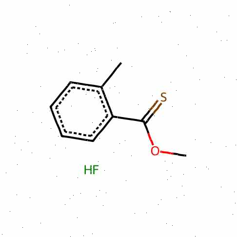 COC(=S)c1ccccc1C.F